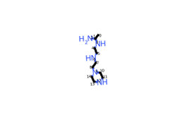 CC(N)NCCNCCN1CCNCC1